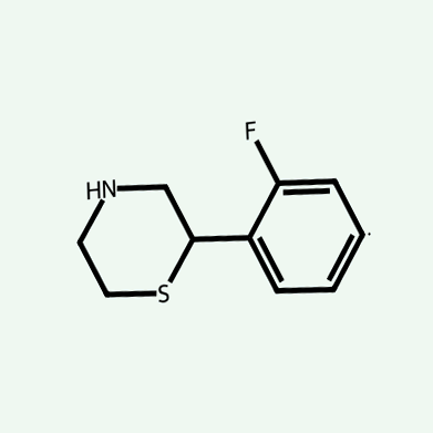 Fc1c[c]ccc1C1CNCCS1